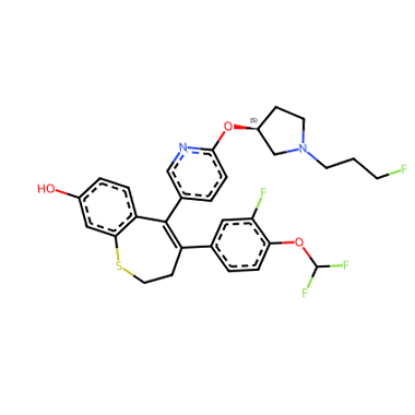 Oc1ccc2c(c1)SCCC(c1ccc(OC(F)F)c(F)c1)=C2c1ccc(O[C@H]2CCN(CCCF)C2)nc1